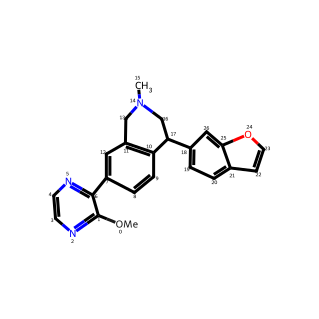 COc1nccnc1-c1ccc2c(c1)CN(C)CC2c1ccc2ccoc2c1